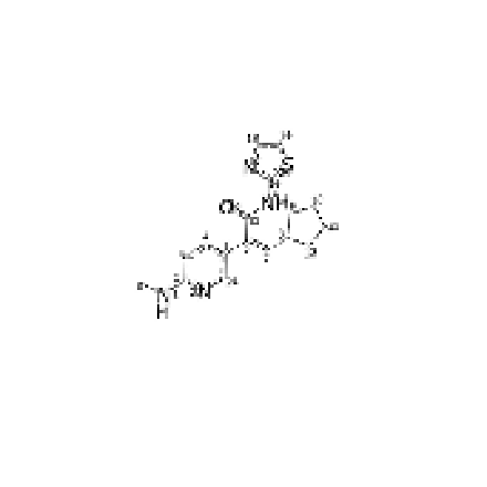 CNc1ccc(C(=CC2CCCC2)C(=O)Nc2nccs2)cn1